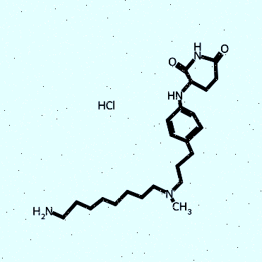 CN(CCCCCCCCN)CCCc1ccc(NC2CCC(=O)NC2=O)cc1.Cl